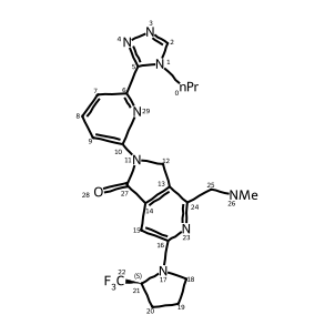 CCCn1cnnc1-c1cccc(N2Cc3c(cc(N4CCC[C@H]4C(F)(F)F)nc3CNC)C2=O)n1